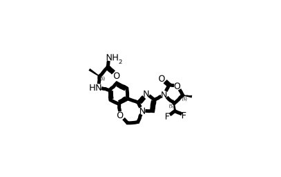 C[C@H](Nc1ccc2c(c1)OCCn1cc(N3C(=O)O[C@@H](C)[C@H]3C(F)F)nc1-2)C(N)=O